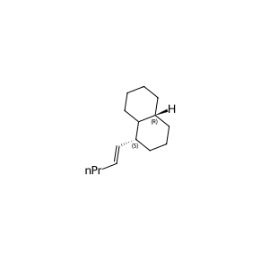 CCCC=C[C@H]1CCC[C@H]2CCCCC21